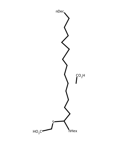 CC(=O)O.CCCCCCCCCCCCCCCCCCCCCCCC(CCCCCC)SCC(=O)O